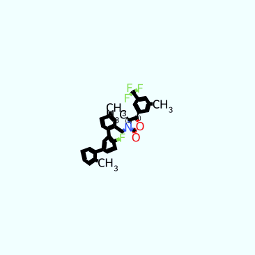 Cc1cc([C@H]2OC(=O)N(Cc3cc(C)ccc3-c3cc(-c4ccccc4C)ccc3F)[C@H]2C)cc(C(F)(F)F)c1